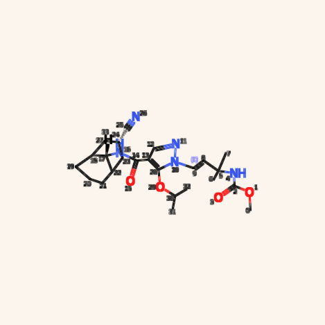 COC(=O)NC(C)(C)/C=C/n1ncc(C(=O)N[C@H]2C3CCCC2C[C@@H](C#N)C3)c1OC(C)C